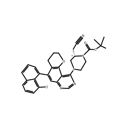 CC(C)(C)OC(=O)N1CCN(c2ncnc3cc(-c4cccc5cccc(Cl)c45)c4c(c23)OCCC4)C[C@@H]1CC#N